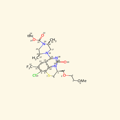 COCCOC[C@H]1CSc2c(Cl)c(C(F)(F)F)cc3c(N4C[C@H](C)N(C(=O)OC(C)(C)C)C[C@@H]4C)nc(=O)n1c23